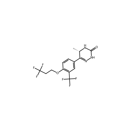 C[C@@H]1NC(=O)NN=C1c1ccc(OCCC(F)(F)F)c(C(F)(F)F)c1